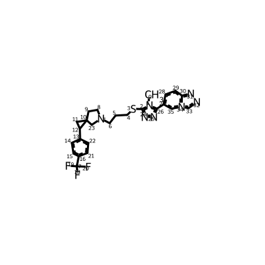 Cn1c(SCCCN2CCC3(CC3c3ccc(C(F)(F)F)cc3)C2)nnc1-c1ccc2nncn2c1